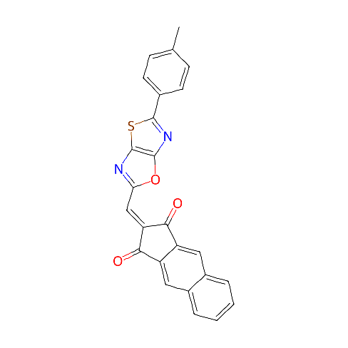 Cc1ccc(-c2nc3oc(C=C4C(=O)c5cc6ccccc6cc5C4=O)nc3s2)cc1